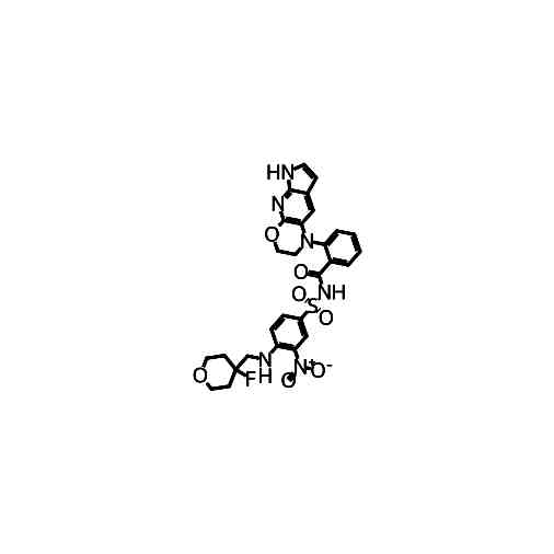 O=C(NS(=O)(=O)c1ccc(NCC2(F)CCOCC2)c([N+](=O)[O-])c1)c1ccccc1N1CCOc2nc3[nH]ccc3cc21